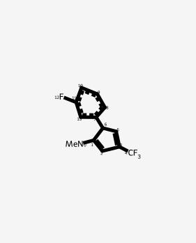 CNC1=CC(C(F)(F)F)=CC1c1cccc(F)c1